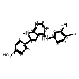 O=C(O)c1ccc(-c2cc3c(Nc4ccc(F)c(Cl)c4)ncnc3[nH]2)cc1